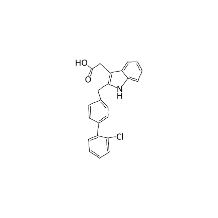 O=C(O)Cc1c(Cc2ccc(-c3ccccc3Cl)cc2)[nH]c2ccccc12